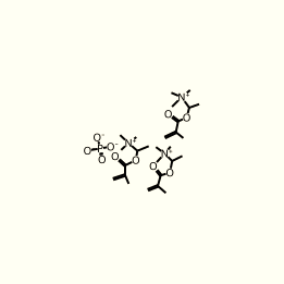 C=C(C)C(=O)OC(C)[N+](C)(C)C.C=C(C)C(=O)OC(C)[N+](C)(C)C.C=C(C)C(=O)OC(C)[N+](C)(C)C.O=P([O-])([O-])[O-]